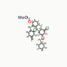 COCOc1ccc(Cc2c(Cl)cc(OCc3ccccc3)cc2Cl)cc1Cc1ccc(F)cc1